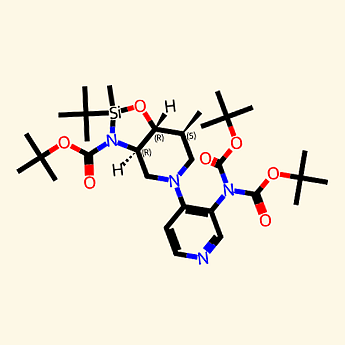 C[C@H]1CN(c2ccncc2N(C(=O)OC(C)(C)C)C(=O)OC(C)(C)C)C[C@@H]2[C@@H]1O[Si](C)(C(C)(C)C)N2C(=O)OC(C)(C)C